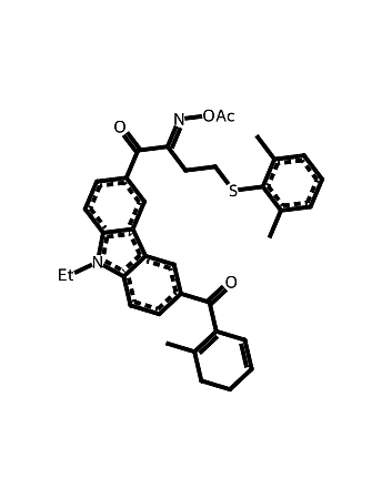 CCn1c2ccc(C(=O)C3=C(C)CCC=C3)cc2c2cc(C(=O)/C(CCSc3c(C)cccc3C)=N/OC(C)=O)ccc21